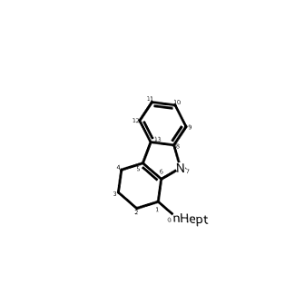 CCCCCCCC1CCCC2=C1[N]c1ccccc12